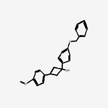 COc1ccc(C2CC(O)(c3ccc(OCc4ccccc4)cc3)C2)cc1